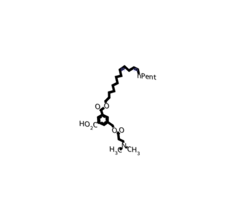 CCCCC/C=C\C/C=C\CCCCCCCCOC(=O)c1cc(COC(=O)CCN(C)C)cc(C(=O)O)c1